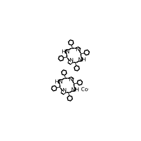 C1=Cc2nc1c(-c1ccccc1)c1ccc([nH]1)c(-c1ccccc1)c1nc(c(-c3ccccc3)c3ccc([nH]3)c2-c2ccccc2)C=C1.C1=Cc2nc1c(-c1ccccc1)c1ccc([nH]1)c(-c1ccccc1)c1nc(c(-c3ccccc3)c3ccc([nH]3)c2-c2ccccc2)C=C1.[Co]